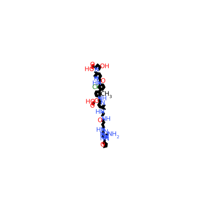 Cc1c(NC(=O)c2ccc(CNCCNC(=O)CCCNc3nc(N)n4nc(-c5ccco5)nc4n3)cn2)cccc1-c1cccc(NC(=O)c2ccc(CN3C[C@H](O)C[C@H]3C(=O)O)cn2)c1Cl.O=CO